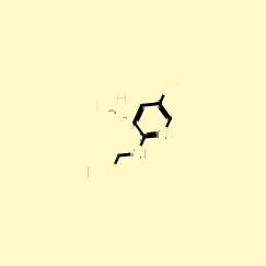 CCNc1ccc(Br)cn1.Cl.Cl